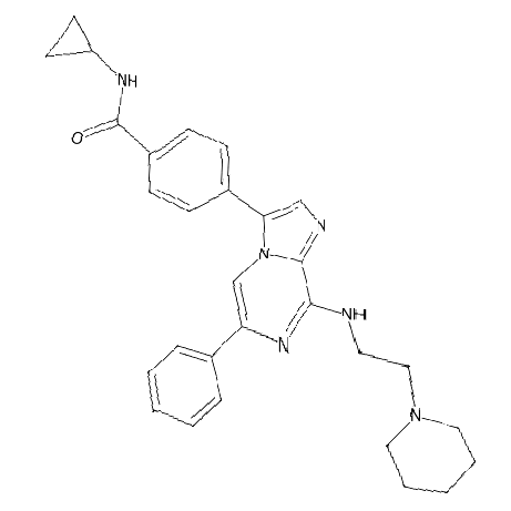 O=C(NC1CC1)c1ccc(-c2cnc3c(NCCN4CCCCC4)nc(-c4ccccc4)cn23)cc1